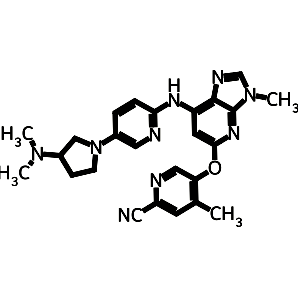 Cc1cc(C#N)ncc1Oc1cc(Nc2ccc(N3CCC(N(C)C)C3)cn2)c2ncn(C)c2n1